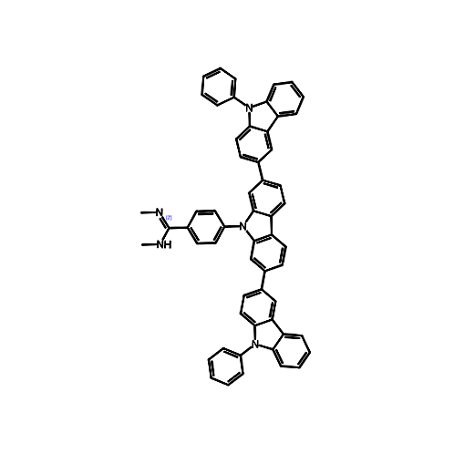 C/N=C(\NC)c1ccc(-n2c3cc(-c4ccc5c(c4)c4ccccc4n5-c4ccccc4)ccc3c3ccc(-c4ccc5c(c4)c4ccccc4n5-c4ccccc4)cc32)cc1